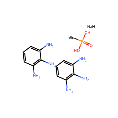 CCCCP(=O)(O)O.Nc1cccc(N)c1N.Nc1cccc(N)c1N.[NaH]